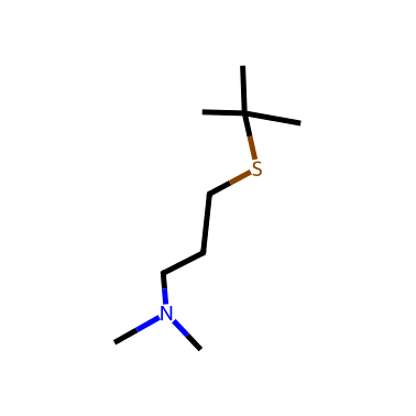 CN(C)CCCSC(C)(C)C